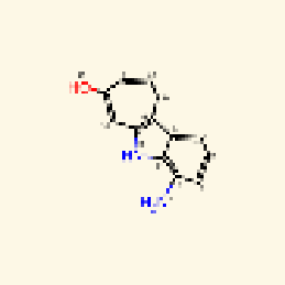 Nc1cccc2c3c([nH]c12)C=C(O)C=CC3